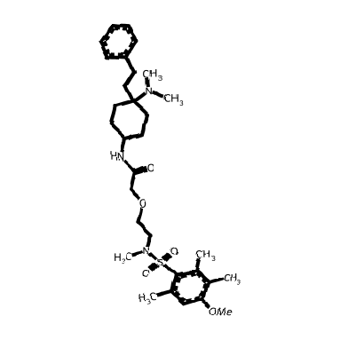 COc1cc(C)c(S(=O)(=O)N(C)CCOCC(=O)NC2CCC(CCc3ccccc3)(N(C)C)CC2)c(C)c1C